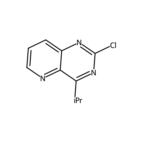 CC(C)c1nc(Cl)nc2cccnc12